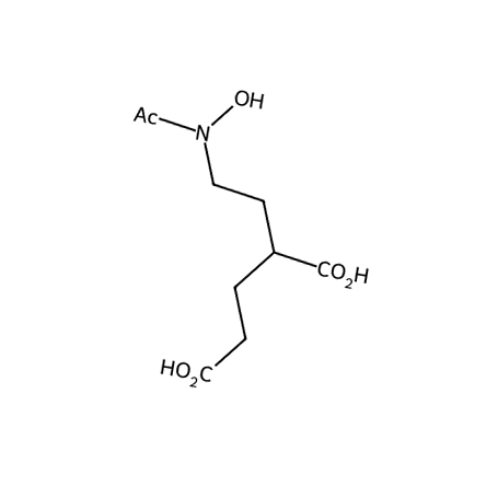 CC(=O)N(O)CCC(CCC(=O)O)C(=O)O